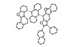 c1ccc(-c2c(-c3ccc4ccccc4c3)oc3c(-c4c5ccccc5c(-c5cccc6oc7c8ccccc8ccc7c56)c5ccccc45)c4oc5ccccc5c4cc23)cc1